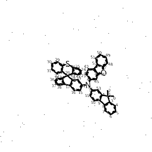 CC1(C)c2ccccc2-c2ccc(N(c3ccc4c(c3)C3(c5ccccc5Sc5ccccc53)c3ccccc3-4)c3ccc4c(c3)oc3ccccc34)cc21